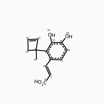 CC1(c2c(C=CC(=O)O)ccc(O)c2O)C=CC1